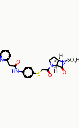 O=C(Cc1ccccn1)Nc1ccc(SCC(=O)N2CC[C@@H]3[C@H]2C(=O)N3S(=O)(=O)O)cc1